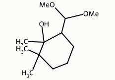 COC(OC)C1CCCC(C)(C)C1(C)O